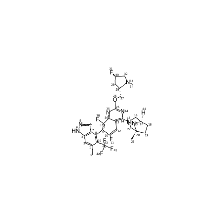 Cc1cc2[nH]ncc2c(-c2c(F)cc3c(N4C[C@H]5CC[C@](C)(C4)N5)nc(OC[C@@H]4C[C@@H](F)CN4C)nc3c2F)c1C(F)(F)F